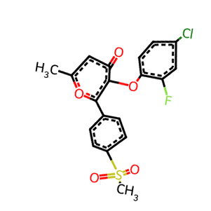 Cc1cc(=O)c(Oc2ccc(Cl)cc2F)c(-c2ccc(S(C)(=O)=O)cc2)o1